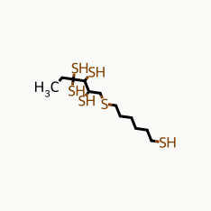 CCC(S)(S)C(S)C(S)CSCCCCCCS